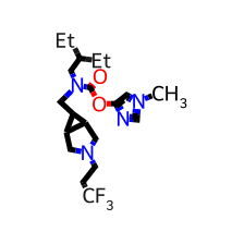 CCC(CC)CN(CC1C2CN(CCC(F)(F)F)CC21)C(=O)Oc1cn(C)cn1